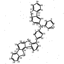 c1cncc(N(c2ccc(-c3cccc4c3sc3ccc5c6ccccc6sc5c34)cc2)c2ccc3sc4ccccc4c3c2)c1